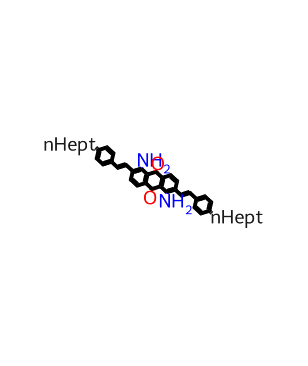 CCCCCCCc1ccc(/C=C/c2ccc3c(c2N)C(=O)c2ccc(/C=C/c4ccc(CCCCCCC)cc4)c(N)c2C3=O)cc1